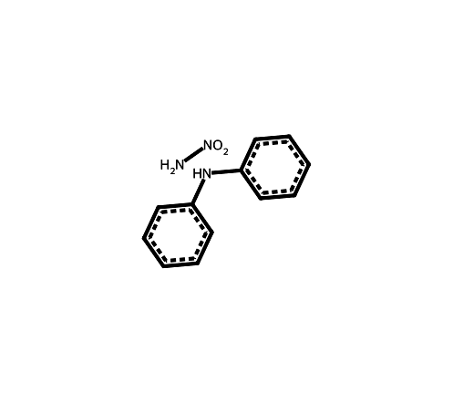 N[N+](=O)[O-].c1ccc(Nc2ccccc2)cc1